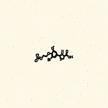 COc1cc(C2NC(C(=O)O)CS2)cc(Br)c1OCCO[N+](=O)[O-]